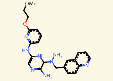 COCCOc1cccc(NC2=CN=C(N)C(N(N)Cc3ccc4ncccc4c3)N2)n1